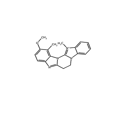 COc1ccc2nc3n(c2c1C)-c1n(c2ccccc2[n+]1C)CC3